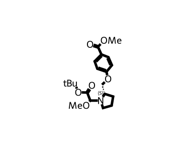 COC(=O)c1ccc(OC[C@@H]2CCCN2C(OC)C(=O)OC(C)(C)C)cc1